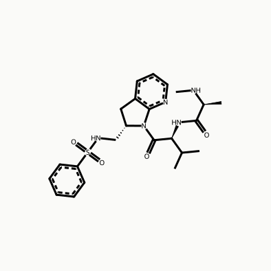 CN[C@@H](C)C(=O)N[C@H](C(=O)N1c2ncccc2C[C@H]1CNS(=O)(=O)c1ccccc1)C(C)C